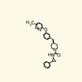 Cc1ccc(Oc2cccc(C=C3CCN(C(=O)NC4CC4c4ccccc4)CC3)c2)nn1